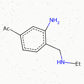 CCNCc1ccc(C(C)=O)cc1N